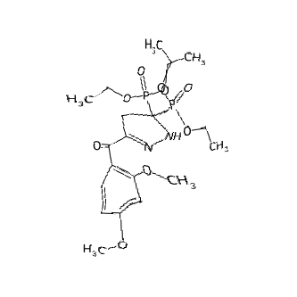 CCOP(=O)(OCC)C1(P(=O)(OCC)OCC)CC(C(=O)c2ccc(OC)cc2OC)=NN1